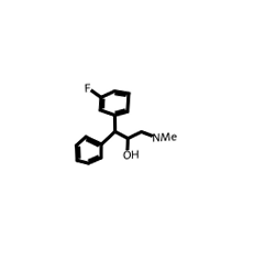 CNCC(O)C(c1ccccc1)c1cccc(F)c1